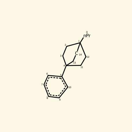 CCCC12CCC(c3cc[c]cc3)(CC1)CC2